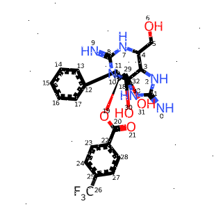 N=C1NC2C(CO)NC(=N)N3C(c4ccccc4)[C@H](OC(=O)c4ccc(C(F)(F)F)cc4)C(O)(O)C23N1